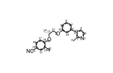 Cc1nccn1-c1cccc(OC[C@@H](C)Oc2ccc(C#N)cc2F)c1